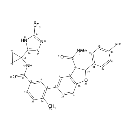 CNC(=O)C1c2cc(-c3cc(C(=O)NC4(c5nnc(C(F)(F)F)[nH]5)CC4)ccc3C)ccc2OC1c1ccc(F)cc1